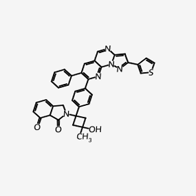 CC1(O)CC(c2ccc(-c3nc4c(cnc5cc(-c6ccsc6)nn54)cc3-c3ccccc3)cc2)(N2CC3=CC=CC(=O)C3C2=O)C1